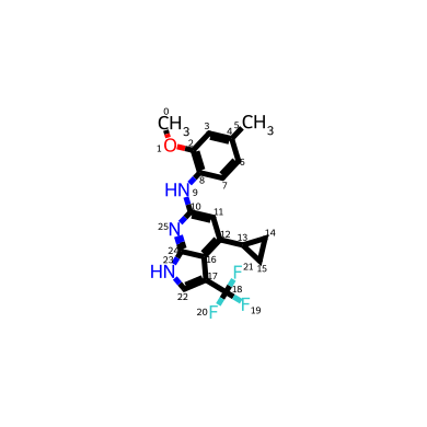 COc1cc(C)ccc1Nc1cc(C2CC2)c2c(C(F)(F)F)c[nH]c2n1